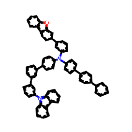 c1ccc(-c2ccc(-c3ccc(N(c4ccc(-c5cccc(-c6cccc(-n7c8ccccc8c8ccccc87)c6)c5)cc4)c4cccc(-c5ccc6c(c5)oc5ccccc56)c4)cc3)cc2)cc1